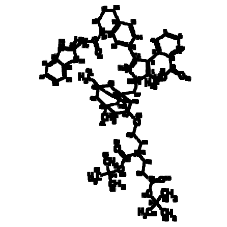 Cc1c(-c2cccnc2C(=O)O)c(-c2ccc3c(c2)N(C(=O)Nc2nc4ccccc4s2)CCC3)nn1CC12CC3(C)CC(C)(C1)CC(OCCN(CCC(=O)OC(C)(C)C)C(=O)OC(C)(C)C)(C3)C2